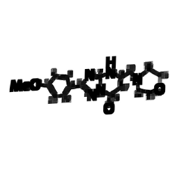 COc1ccc(-c2nc3[nH]c(CN4CCOCC4)cc(=O)n3n2)cc1